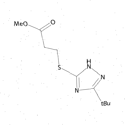 COC(=O)CCSc1nc(C(C)(C)C)n[nH]1